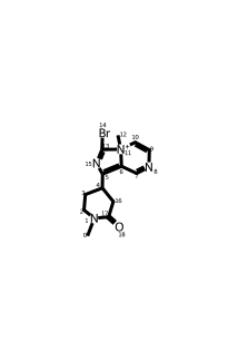 CN1CCC(C2=C3C=NC=C[N+]3(C)C(Br)=N2)CC1=O